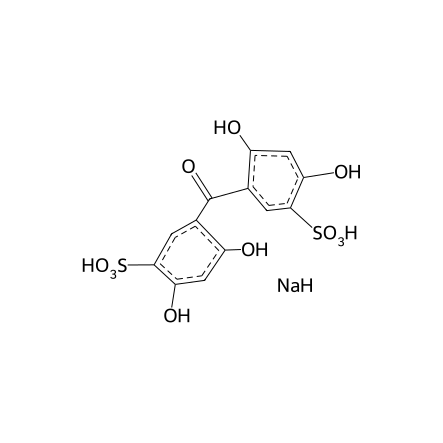 O=C(c1cc(S(=O)(=O)O)c(O)cc1O)c1cc(S(=O)(=O)O)c(O)cc1O.[NaH]